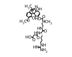 COc1ccc2c3c1O[C@H]1C(OC(=O)N(C)CCNC(=O)[C@H](CCCCNC(=N)N)NC(=O)CC(=O)O)=CC[C@@]4(O)[C@@H](C2)N(C)CC[C@]314